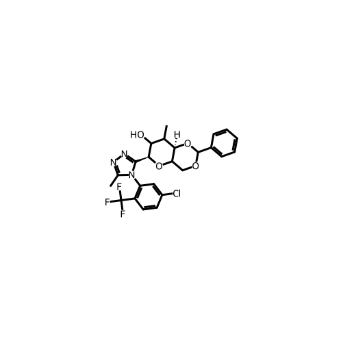 Cc1nnc([C@@H]2OC3COC(c4ccccc4)O[C@@H]3C(C)C2O)n1-c1cc(Cl)ccc1C(F)(F)F